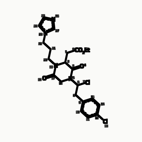 CCOC(=O)CC1C(=O)N(C(Cl)Cc2ccc(Cl)cc2)CC(=O)N1CCCn1ccnc1